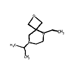 CCN1CCN(C(C)C)CC12COC2